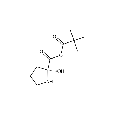 CC(C)(C)C(=O)OC(=O)[C@]1(O)CCCN1